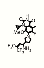 COc1c(N2CCC(C(N)C=C(C(F)(F)F)C(F)(F)F)C2)c(F)c(C)c2c(=O)[nH]c(=O)n(C3CC3)c12